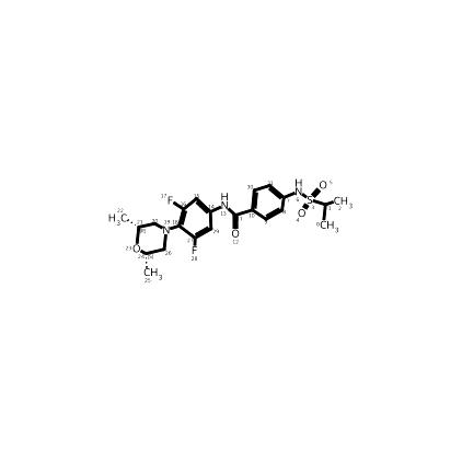 CC(C)S(=O)(=O)Nc1ccc(C(=O)Nc2cc(F)c(N3C[C@@H](C)O[C@@H](C)C3)c(F)c2)cc1